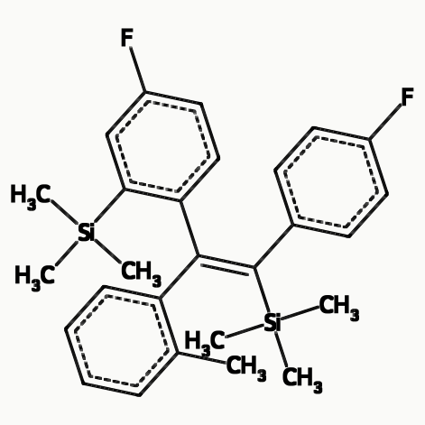 Cc1ccccc1C(=C(c1ccc(F)cc1)[Si](C)(C)C)c1ccc(F)cc1[Si](C)(C)C